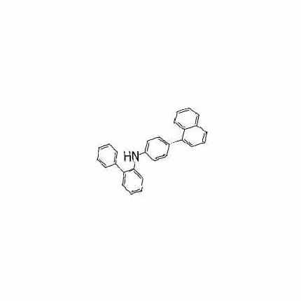 c1ccc(-c2ccccc2Nc2ccc(-c3cccc4ccccc34)cc2)cc1